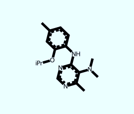 Cc1ccc(Nc2ncnc(C)c2N(C)C)c(OC(C)C)c1